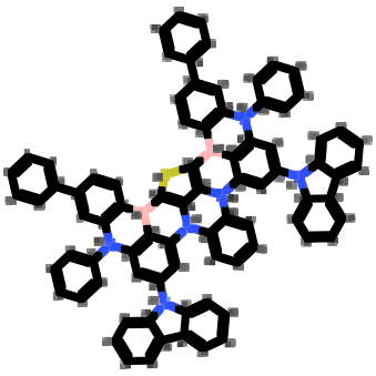 c1ccc(-c2ccc3c(c2)N(c2ccccc2)c2cc(-n4c5ccccc5c5ccccc54)cc4c2B3c2sc3c5c2N4c2ccccc2N5c2cc(-n4c5ccccc5c5ccccc54)cc4c2B3c2ccc(-c3ccccc3)cc2N4c2ccccc2)cc1